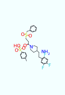 Cc1ccc(S(=O)(=O)O)cc1.N[C@H](Cc1cc(F)c(F)cc1F)C1CCN(C(=O)CCS(=O)(=O)Cc2ccccc2)CC1